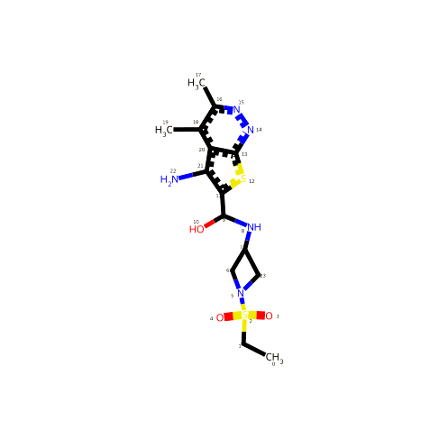 CCS(=O)(=O)N1CC(NC(O)c2sc3nnc(C)c(C)c3c2N)C1